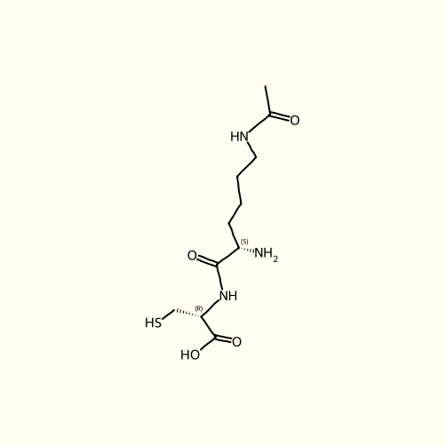 CC(=O)NCCCC[C@H](N)C(=O)N[C@@H](CS)C(=O)O